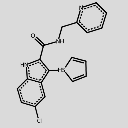 O=C(NCc1ccccn1)c1[nH]c2ccc(Cl)cc2c1[SH]1C=CC=C1